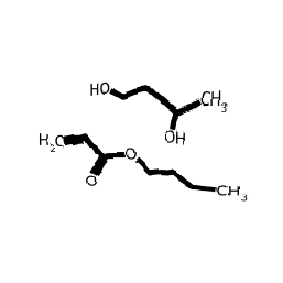 C=CC(=O)OCCCC.CC(O)CCO